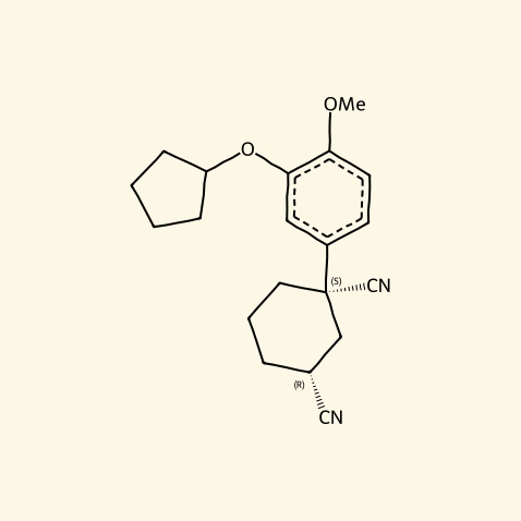 COc1ccc([C@]2(C#N)CCC[C@@H](C#N)C2)cc1OC1CCCC1